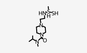 CC(C)N(C)C(=O)N1CCN(CCN[SH](C)S)CC1